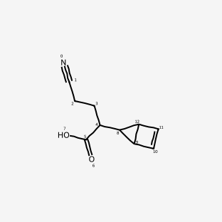 N#CCCC(C(=O)O)C1C2C=CC21